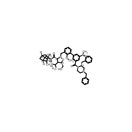 COc1c(CN2O[C@@H](CO)C(C(C)O)[C@H]2C(=O)N[C@H]2C[C@H]3C[C@@H]([C@@H]2C)C3(C)C)cccc1-c1cc(C(=O)N2CCN(Cc3ccccc3)C[C@@H]2Cc2ccccc2)cc(N(C)C)c1